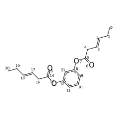 CCC=CCC(=O)Oc1cccc(OC(=O)CC=CCC)c1